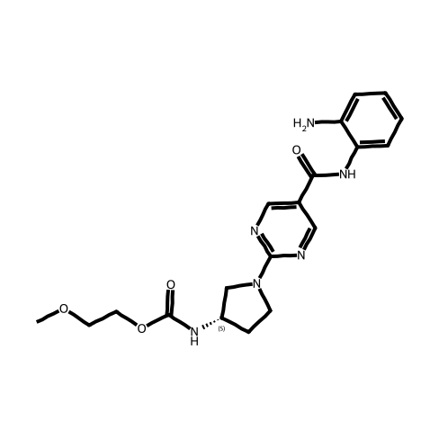 COCCOC(=O)N[C@H]1CCN(c2ncc(C(=O)Nc3ccccc3N)cn2)C1